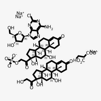 C[C@]12CCC(=O)C=C1CC[C@@H]1[C@@H]2[C@@H](O)C[C@@]2(C)[C@H]1CC[C@]2(O)C(=O)CO.C[C@]12CCC(=O)C=C1CC[C@@H]1[C@@H]2[C@@H](O)C[C@@]2(C)[C@H]1CC[C@]2(O)C(=O)COP(=O)([O-])[O-].Nc1nc(Cl)nc2c1ncn2[C@H]1C[C@H](O)[C@@H](CO)O1.O=C([O-])CCC(=O)O.[Na+].[Na+].[Na+]